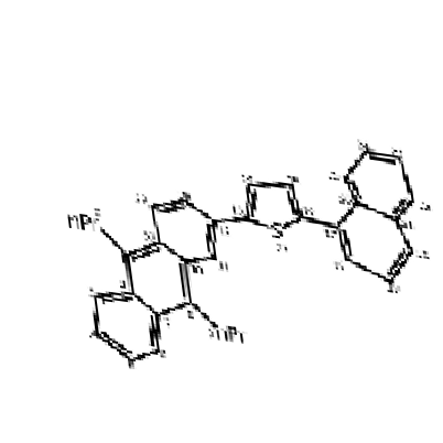 CCCc1c2ccccc2c(CCC)c2cc(-c3ccc(-c4cccc5ccccc45)s3)ccc12